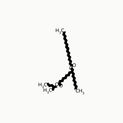 CCCCCCCCC=CCCCCCCCC(=O)OCC(CCCCCCCCC)CCCCCCCC(=O)OCC(CC)CCCC